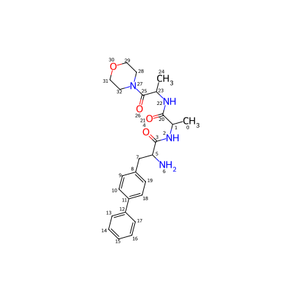 CC(NC(=O)C(N)Cc1ccc(-c2ccccc2)cc1)C(=O)NC(C)C(=O)N1CCOCC1